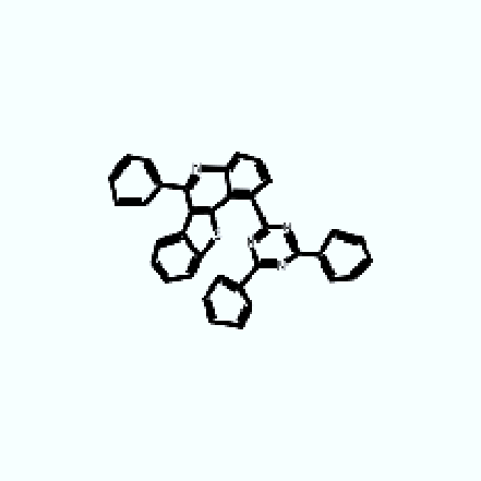 c1ccc(-c2nc(-c3ccccc3)nc(-c3cccc4nc(-c5ccccc5)c5c6ccccc6sc5c34)n2)cc1